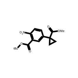 COC(=O)C1(c2ccc([N+](=O)[O-])c(C(=O)OC(C)(C)C)c2)CC1